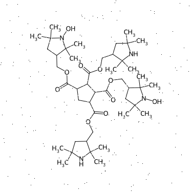 CC1(C)CC(COC(=O)C2CC(C(=O)OCC3CC(C)(C)N(O)C3(C)C)C(C(=O)OCC3CC(C)(C)NC3(C)C)C2C(=O)OCC2CC(C)(C)N(O)C2(C)C)C(C)(C)N1